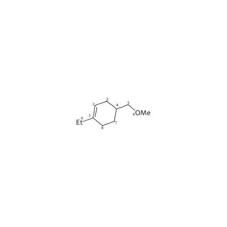 CCC1=CCC(COC)CC1